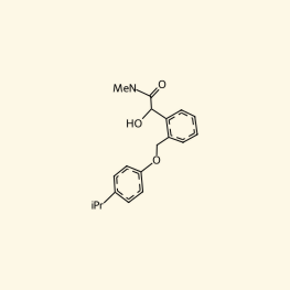 CNC(=O)C(O)c1ccccc1COc1ccc(C(C)C)cc1